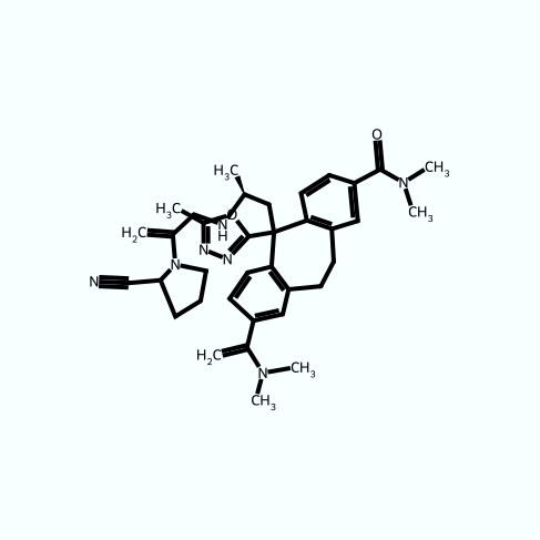 C=C(c1ccc2c(c1)CCc1cc(C(=O)N(C)C)ccc1C2(C[C@H](C)NCC(=C)N1CCCC1C#N)c1nnc(C)o1)N(C)C